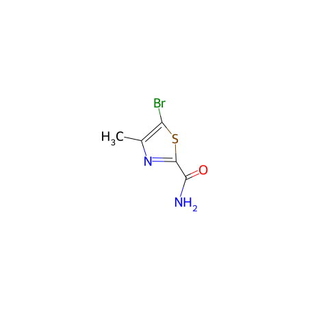 Cc1nc(C(N)=O)sc1Br